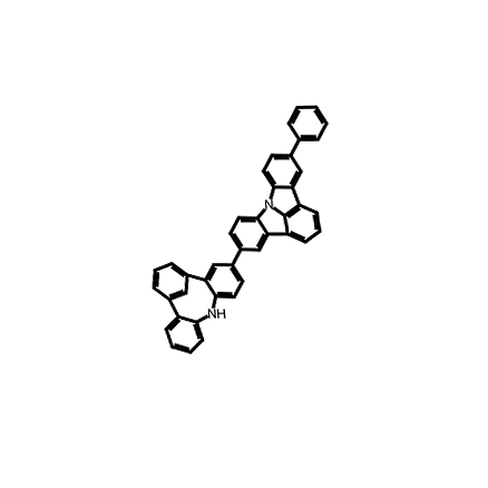 c1ccc(-c2ccc3c(c2)c2cccc4c5cc(-c6ccc7c(c6)-c6cccc(c6)-c6ccccc6N7)ccc5n3c24)cc1